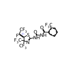 O=C(NC(=O)c1ccccc1C(F)(F)F)NC1=NC(C(F)(F)F)(C(F)(F)F)/C(=C(\F)C(F)(F)F)S1